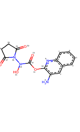 Nc1cc2ccccc2nc1OC(=O)N(O)N1C(=O)CCC1=O